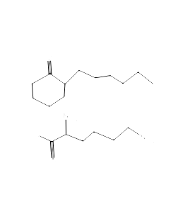 CCCCCCC1CCCCC1=O.NCCCCC(N)C(=O)O